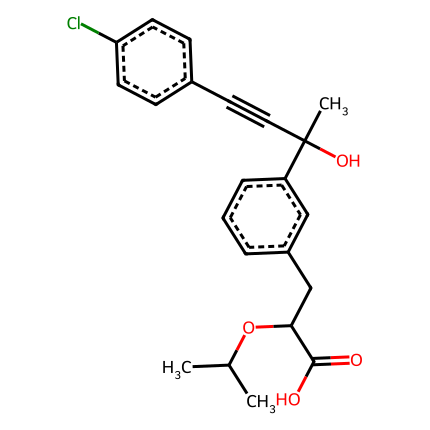 CC(C)OC(Cc1cccc(C(C)(O)C#Cc2ccc(Cl)cc2)c1)C(=O)O